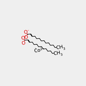 CCCCCCCCCCCC=CC(=O)[O-].CCCCCCCCCCCC=CC(=O)[O-].[Co+2]